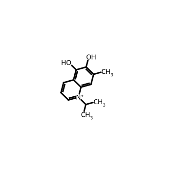 Cc1cc2c(ccc[n+]2C(C)C)c(O)c1O